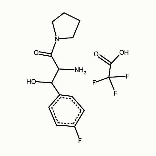 NC(C(=O)N1CCCC1)C(O)c1ccc(F)cc1.O=C(O)C(F)(F)F